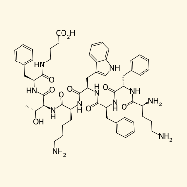 C[C@@H](O)[C@H](NC(=O)[C@H](CCCCN)NC(=O)[C@@H](Cc1c[nH]c2ccccc12)NC(=O)[C@H](Cc1ccccc1)NC(=O)[C@H](Cc1ccccc1)NC(=O)[C@@H](N)CCCN)C(=O)N[C@@H](Cc1ccccc1)C(=O)NCCCC(=O)O